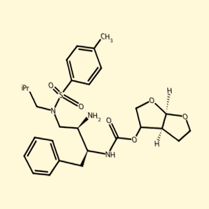 Cc1ccc(S(=O)(=O)N(CC(C)C)C[C@@H](N)[C@H](Cc2ccccc2)NC(=O)OC2CO[C@H]3OCC[C@@H]23)cc1